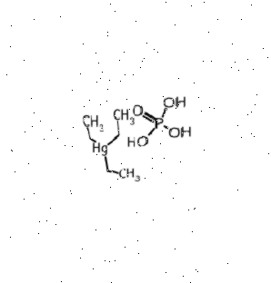 C[CH2][Hg]([CH2]C)[CH2]C.O=P(O)(O)O